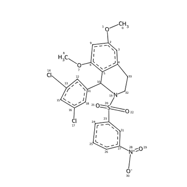 COc1cc2c(c(OC)c1)C(c1cc(Cl)cc(Cl)c1)N(S(=O)(=O)c1cccc([N+](=O)[O-])c1)CC2